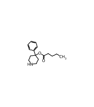 CCCCC(=O)OC1(c2ccccc2)CCNCC1